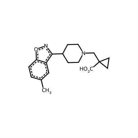 Cc1ccc2onc(C3CCN(CC4(C(=O)O)CC4)CC3)c2c1